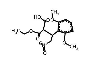 CCOC(=O)C(C(=O)O)C(C[N+](=O)[O-])c1c(OC)cccc1OC